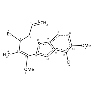 C=CCC(CC)/C(C)=C(/OC)c1cc2c(Cl)c(OC)ccc2s1